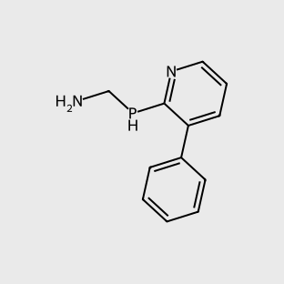 NCPc1ncccc1-c1ccccc1